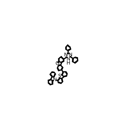 c1ccc(C2=NC(c3ccc4oc5ccc(-c6cccc7c6sc6c(-n8c9ccccc9c9ccccc98)cccc67)cc5c4c3)NC(c3ccccc3)=N2)cc1